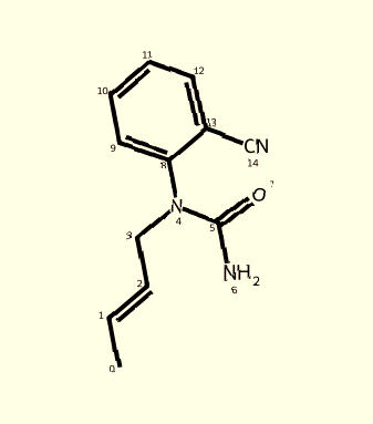 CC=CCN(C(N)=O)c1ccccc1C#N